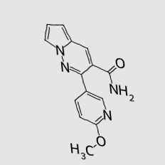 COc1ccc(-c2nn3cccc3cc2C(N)=O)cn1